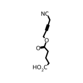 N#CCC#CCOC(=O)CCCC(=O)O